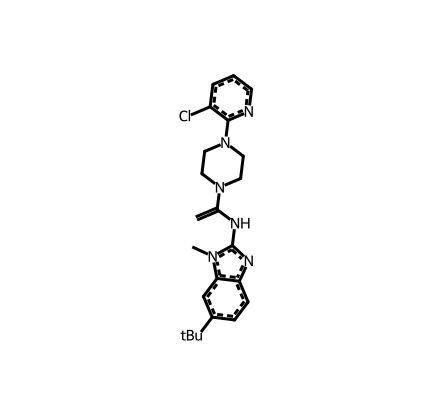 C=C(Nc1nc2ccc(C(C)(C)C)cc2n1C)N1CCN(c2ncccc2Cl)CC1